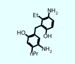 CCCc1cc(O)c(Cc2c(O)ccc(N)c2CC)cc1N